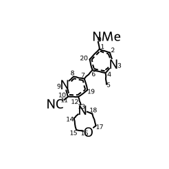 CNc1cnc(C)c(-c2cnc(C#N)c(N3CCOCC3)c2)c1